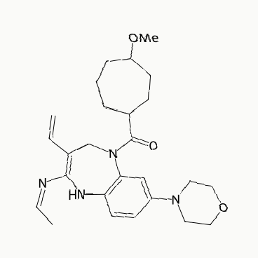 C=CC1=C(/N=C\C)Nc2ccc(N3CCOCC3)cc2N(C(=O)C2CCCC(OC)CC2)C1